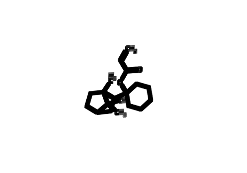 C=CC(=O)OC1(C2CC3CCC2(C)C3(C)C)CCCCC1